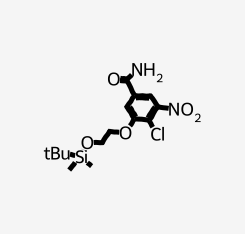 CC(C)(C)[Si](C)(C)OCCOc1cc(C(N)=O)cc([N+](=O)[O-])c1Cl